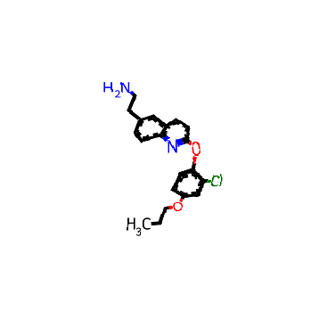 CCCOc1ccc(Oc2ccc3cc(CCN)ccc3n2)c(Cl)c1